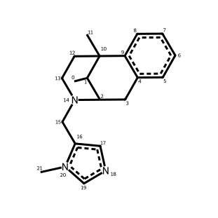 CC1C2Cc3ccccc3C1(C)CCN2Cc1cncn1C